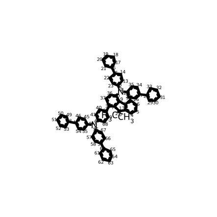 CC1(C)c2ccccc2-c2c(N(c3ccc(-c4ccccc4)cc3)c3ccc(-c4ccccc4)cc3)ccc(-c3ccc(N(c4ccc(-c5ccccc5)cc4)c4ccc(-c5ccccc5)cc4)cc3)c21